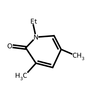 CCn1cc(C)cc(C)c1=O